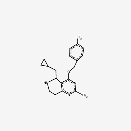 Cc1nc2c(c(OCc3ccc(C(F)(F)F)cc3)n1)C(CC1CC1)NCC2